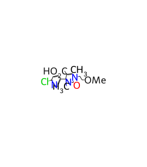 COCCN1C(=O)N(C)C(c2ccc(Cl)nc2)C(C(=O)O)=C1C